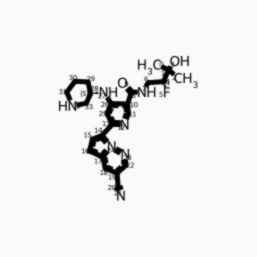 CC(C)(O)[C@H](F)CNC(=O)c1cnc(-c2ccc3cc(C#N)cnn23)cc1N[C@H]1CCCNC1